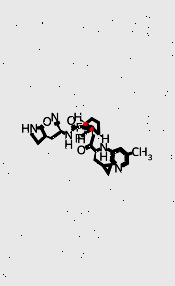 Cc1cncc(N[C@@H](CC2CC2)C(=O)N2[C@@H]3CC[C@H]([C@@H]2C(=O)N[C@H](C#N)C[C@H]2CCNC2=O)C(F)(F)C3)c1